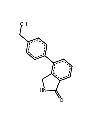 O=C1NCc2c1cccc2-c1ccc(CO)cc1